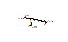 CCCCCC[C@@H](O)CCC(CCCCCCCC(=O)OC)SCC(=O)OC